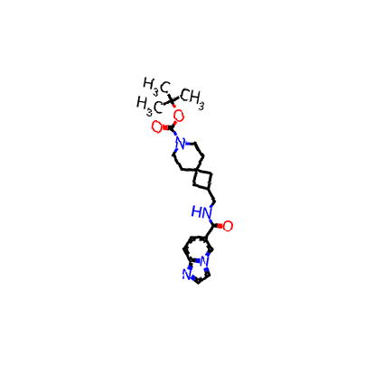 CC(C)(C)OC(=O)N1CCC2(CC1)CC(CNC(=O)c1ccc3nccn3c1)C2